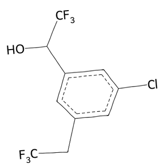 OC(c1cc(Cl)cc(CC(F)(F)F)c1)C(F)(F)F